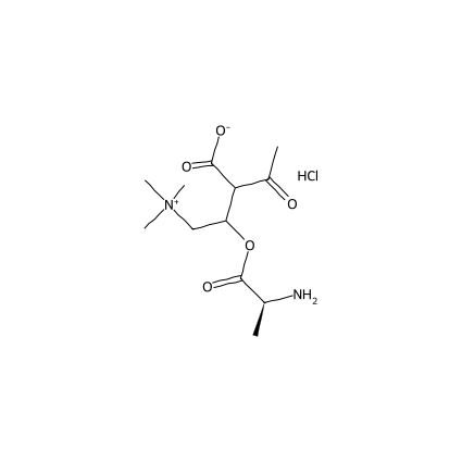 CC(=O)C(C(=O)[O-])C(C[N+](C)(C)C)OC(=O)[C@H](C)N.Cl